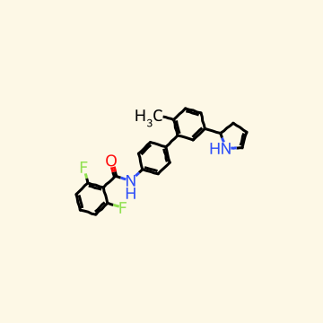 Cc1ccc(C2CC=CN2)cc1-c1ccc(NC(=O)c2c(F)cccc2F)cc1